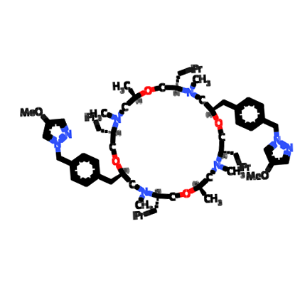 COc1cnn(Cc2ccc(C[C@@H]3CN(C)[C@@H](CC(C)C)CO[C@H](C)CN(C)[C@@H](CC(C)C)CO[C@H](Cc4ccc(Cn5cc(OC)cn5)cc4)CN(C)[C@@H](CC(C)C)CO[C@H](C)CN(C)[C@@H](CC(C)C)CO3)cc2)c1